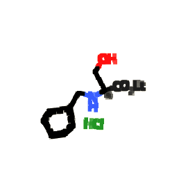 CCOC(=O)[C@H](CO)NCc1ccccc1.Cl